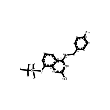 CC(C)(C)[Si](C)(C)Oc1cccc2c(NCc3ccc(F)cc3)nc(Cl)nc12